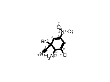 N#CC1(Br)C=C([N+](=O)[O-])C=C(Cl)C1N